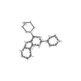 c1cnc2sc3c(N4CCNCC4)nc(-c4ccncc4)nc3c2c1